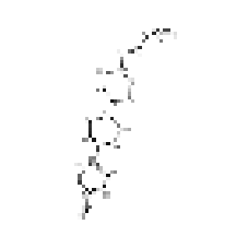 COC/C=C/[C@H]1CC[C@H](C2CCC(c3ccc(Br)cc3)CC2)CC1